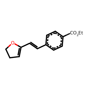 CCOC(=O)c1ccc(/C=C/C2=CCCO2)cc1